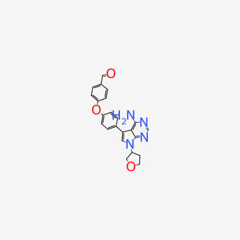 Nc1ncnc2c1c(-c1ccc(Oc3ccc(C=O)cc3)cc1)cn2C1CCOC1